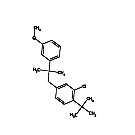 COc1cccc(C(C)(C)Cc2ccc(C(C)(C)C)c(Cl)c2)c1